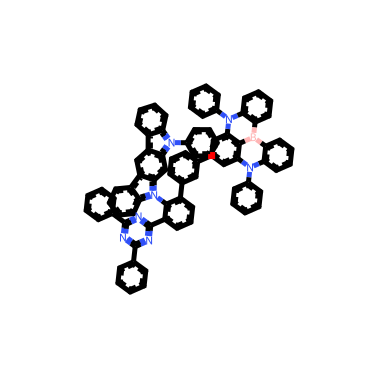 c1ccc(-c2nc(-c3ccccc3)nc(-c3cccc(-c4cccc(-c5cc6c7c(c5)N(c5ccccc5)c5ccccc5B7c5ccccc5N6c5ccccc5)c4)c3-n3c4ccccc4c4cc5c6ccccc6n(-c6ccccc6)c5cc43)n2)cc1